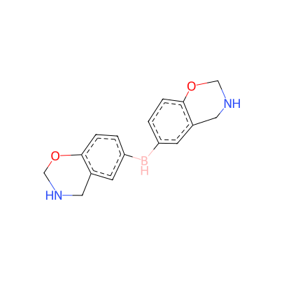 B(c1ccc2c(c1)CNCO2)c1ccc2c(c1)CNCO2